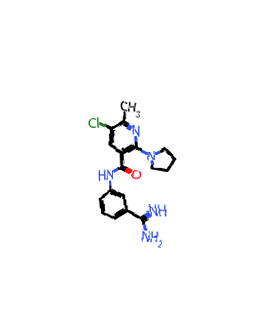 Cc1nc(N2CCCC2)c(C(=O)Nc2cccc(C(=N)N)c2)cc1Cl